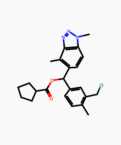 Cc1ccc(C(OC(=O)C2CCCC2)c2ccc3c(nnn3C)c2C)cc1CCl